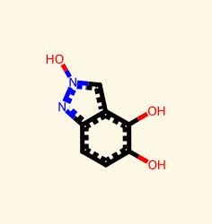 Oc1ccc2nn(O)cc2c1O